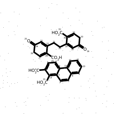 O=C(O)c1ccc2c(ccc3ccccc32)c1C(=O)O.O=C1C=C(CCC2=CC(=O)CC=C2C(=O)O)C(C(=O)O)=CC1